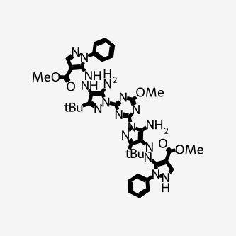 COC(=O)C1=C(/N=N/c2c(C(C)(C)C)nn(-c3nc(OC)nc(-n4nc(C(C)(C)C)c(NNc5c(C(=O)OC)cnn5-c5ccccc5)c4N)n3)c2N)N(c2ccccc2)NC1